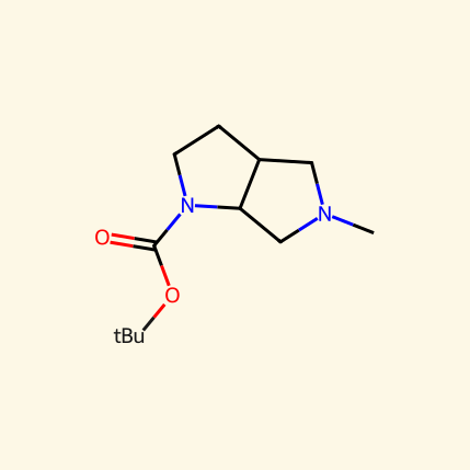 CN1CC2CCN(C(=O)OC(C)(C)C)C2C1